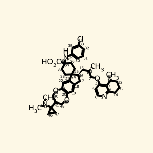 C[C@@H](COc1ccnc2c1[C@H](C)CCC2)C[C@H]1Cc2cc3c(cc2C12CCC(Nc1cccc(Cl)c1)(C(=O)O)CC2)OCC(C1(N(C)C)CC1)CO3